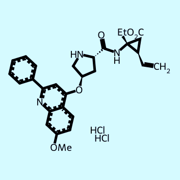 C=C[C@@H]1C[C@]1(NC(=O)[C@@H]1C[C@@H](Oc2cc(-c3ccccc3)nc3cc(OC)ccc23)CN1)C(=O)OCC.Cl.Cl